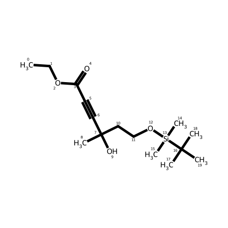 CCOC(=O)C#CC(C)(O)CCO[Si](C)(C)C(C)(C)C